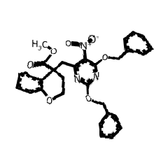 COC(=O)C1(Cc2nc(OCc3ccccc3)nc(OCc3ccccc3)c2[N+](=O)[O-])CCOc2ccccc21